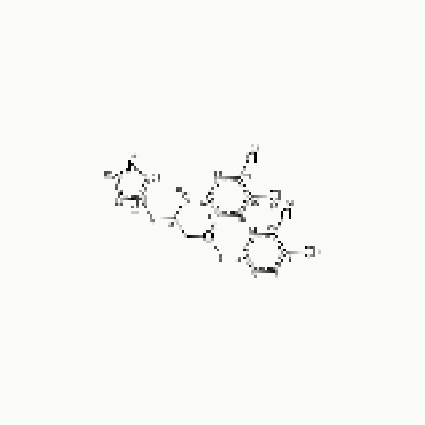 Clc1ccc(COCC(Cn2ccnc2)Sc2ccc(Cl)c(Cl)c2)cc1Cl